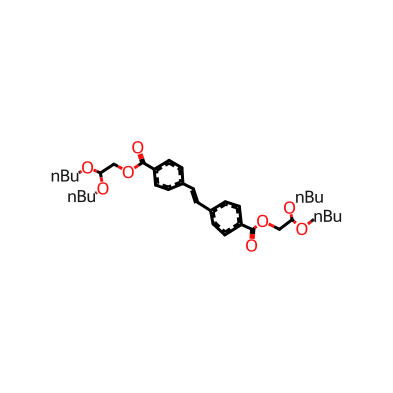 CCCCOC(COC(=O)c1ccc(C=Cc2ccc(C(=O)OCC(OCCCC)OCCCC)cc2)cc1)OCCCC